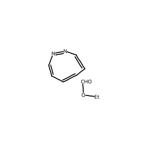 C1=CC=CN=NC=C1.CCOC=O